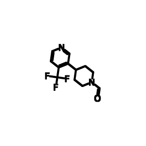 O=CN1CCC(c2cnccc2C(F)(F)F)CC1